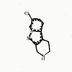 Clc1ccc2c3c(nn2c1)CNCC3